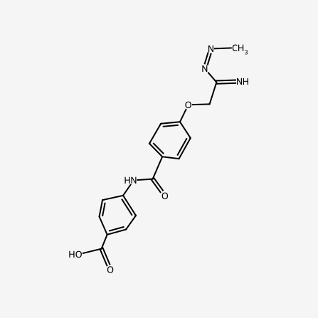 C/N=N\C(=N)COc1ccc(C(=O)Nc2ccc(C(=O)O)cc2)cc1